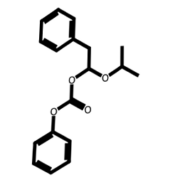 CC(C)OC(Cc1ccccc1)OC(=O)Oc1ccccc1